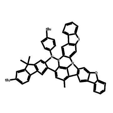 Cc1cc2c3c4c1c1cc5c(cc1n4-c1cc4sc6ccccc6c4cc1B3N(c1ccc(C(C)(C)C)cc1)c1cc3c(cc1-2)-c1ccc(C(C)(C)C)cc1C3(C)C)oc1ccccc15